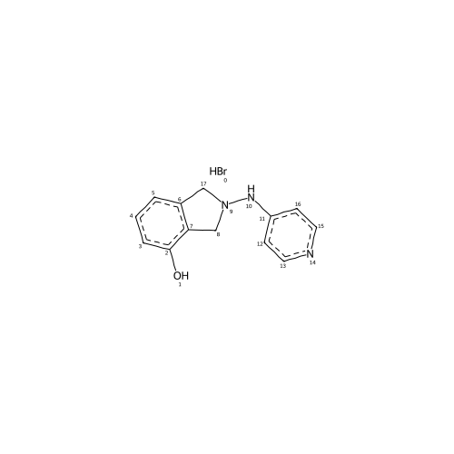 Br.Oc1cccc2c1CN(Nc1ccncc1)C2